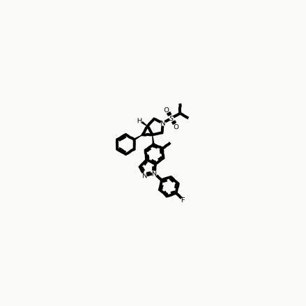 Cc1cc2c(cnn2-c2ccc(F)cc2)cc1[C@]12CN(S(=O)(=O)C(C)C)C[C@H]1[C@@H]2C1C=CC=CC1